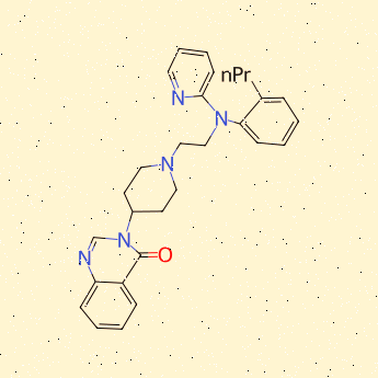 CCCc1ccccc1N(CCN1CCC(n2cnc3ccccc3c2=O)CC1)c1ccccn1